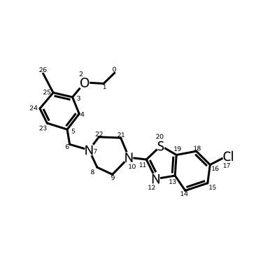 CCOc1cc(CN2CCN(c3nc4ccc(Cl)cc4s3)CC2)ccc1C